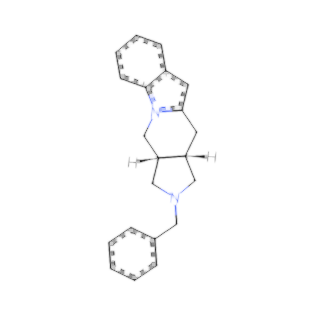 c1ccc(CN2C[C@H]3Cc4cc5ccccc5n4C[C@H]3C2)cc1